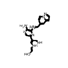 N=C/C(=C\NCCO)c1cnc(N)c(NCc2ccn3nccc3c2)n1